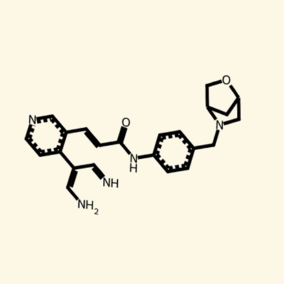 N=C/C(=C\N)c1ccncc1/C=C/C(=O)Nc1ccc(CN2CC3CC2CO3)cc1